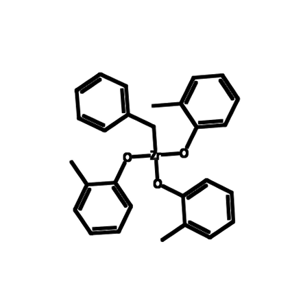 Cc1ccccc1[O][Zr]([CH2]c1ccccc1)([O]c1ccccc1C)[O]c1ccccc1C